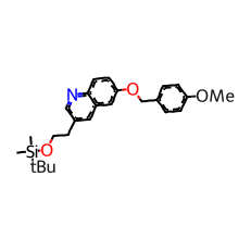 COc1ccc(COc2ccc3ncc(CCO[Si](C)(C)C(C)(C)C)cc3c2)cc1